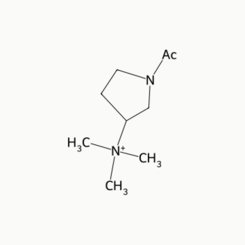 CC(=O)N1CCC([N+](C)(C)C)C1